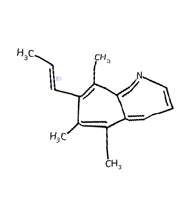 C/C=C/c1c(C)c(C)c2cccnc2c1C